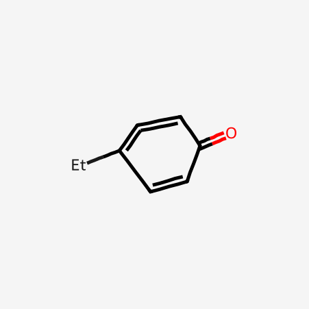 CCC1=C=CC(=O)C=C1